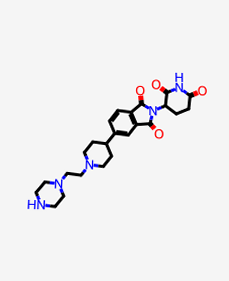 O=C1CCC(N2C(=O)c3ccc(C4CCN(CCN5CCNCC5)CC4)cc3C2=O)C(=O)N1